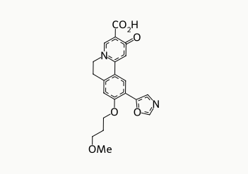 COCCCOc1cc2c(cc1-c1cnco1)-c1cc(=O)c(C(=O)O)cn1CC2